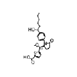 CCCCCC(O)c1ccc(N2C(=O)CCC2[C@H](OC)c2ccc(C(=O)O)s2)cc1